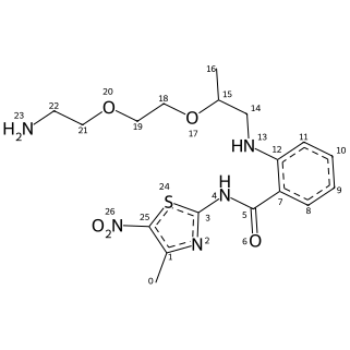 Cc1nc(NC(=O)c2ccccc2NCC(C)OCCOCCN)sc1[N+](=O)[O-]